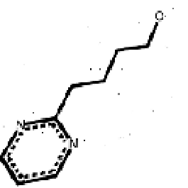 [O]CCCCc1ncccn1